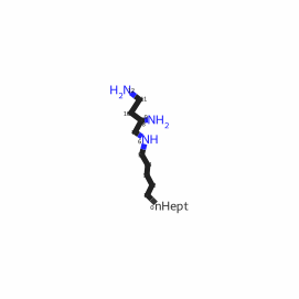 CCCCCCCCCCCCNCC(N)CCN